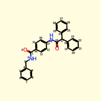 O=C(NCc1ccccc1)c1ccc(NC(=O)C(c2ccccc2)c2ccccc2)cc1